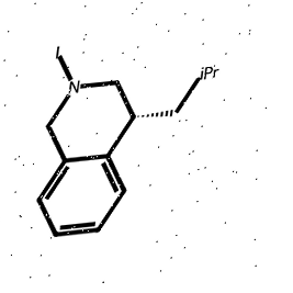 CC(C)C[C@H]1CN(I)Cc2ccccc21